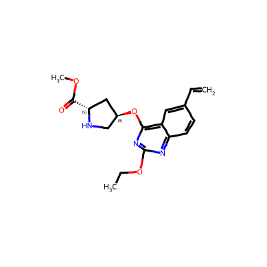 C=Cc1ccc2nc(OCC)nc(O[C@H]3CN[C@H](C(=O)OC)C3)c2c1